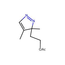 CC(=O)OCCC1(C)N=NC=C1C